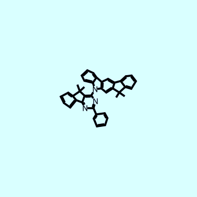 CC1(C)c2ccccc2-c2cc3c4ccccc4n(-c4nc(-c5ccccc5)nc5c4C(C)(C)c4ccccc4-5)c3cc21